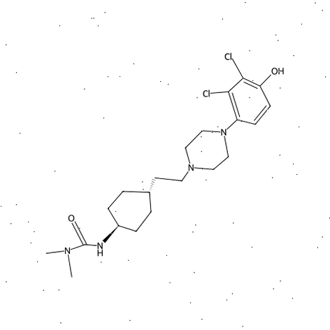 CN(C)C(=O)N[C@H]1CC[C@H](CCN2CCN(c3ccc(O)c(Cl)c3Cl)CC2)CC1